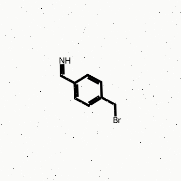 N=Cc1ccc(CBr)cc1